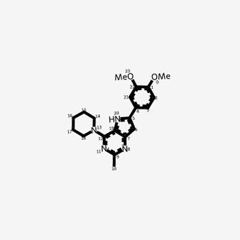 COc1ccc(-c2cc3nc(C)nc(N4CCCCC4)c3[nH]2)cc1OC